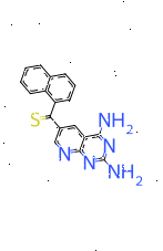 Nc1nc(N)c2cc(C(=S)c3cccc4ccccc34)cnc2n1